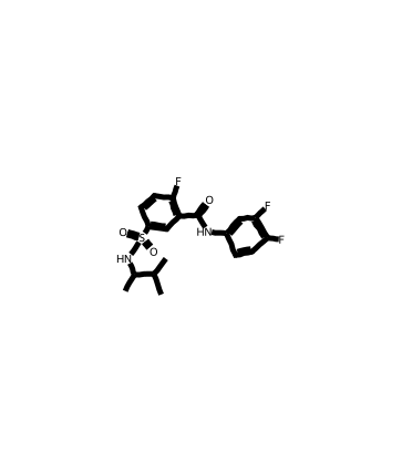 CC(C)C(C)NS(=O)(=O)c1ccc(F)c(C(=O)Nc2ccc(F)c(F)c2)c1